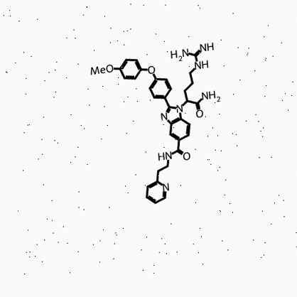 COc1ccc(Oc2ccc(-c3nc4cc(C(=O)NCCc5ccccn5)ccc4n3C(CCCNC(=N)N)C(N)=O)cc2)cc1